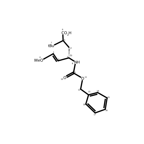 COC=C[C@H](CC(C(=O)O)C(C)(C)C)NC(=O)OCc1ccccc1